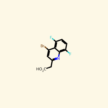 O=C(O)Cc1cc(Br)c2c(F)ccc(F)c2n1